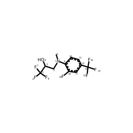 CN(CC(O)C(F)(F)F)c1ccc(C(F)(F)F)cc1F